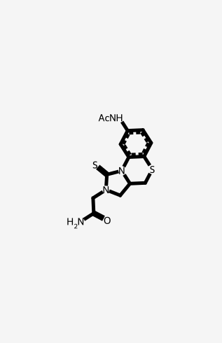 CC(=O)Nc1ccc2c(c1)N1C(=S)N(CC(N)=O)CC1CS2